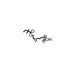 CCC(C)(C)C(=O)OCCN(C)CCCS(=O)(=O)O